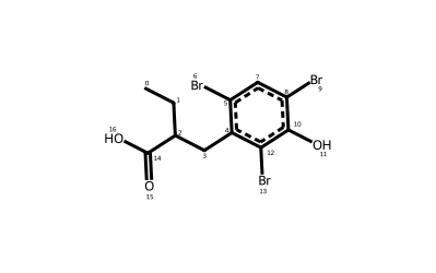 CCC(Cc1c(Br)cc(Br)c(O)c1Br)C(=O)O